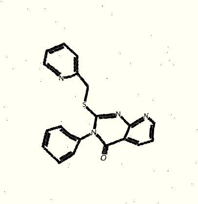 O=c1c2cccnc2nc(SCc2ccccn2)n1-c1ccccc1